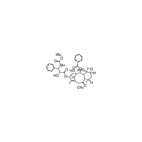 CC(=O)O[C@H]1C(=O)[C@]23C[C@H]2C[C@H]2OC[C@@]2(OC(C)=O)C3C(OC(=O)c2ccccc2)[C@]2(O)CC(OC(=O)C(O)C(NC(=O)OC(C)(C)C)c3ccccc3)C(C)=C1C2(C)C